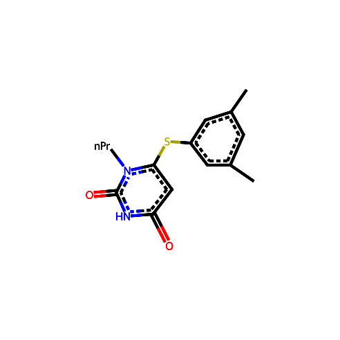 CCCn1c(Sc2cc(C)cc(C)c2)cc(=O)[nH]c1=O